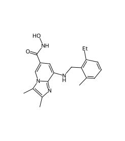 CCc1cccc(C)c1CNc1cc(C(=O)NO)cn2c(C)c(C)nc12